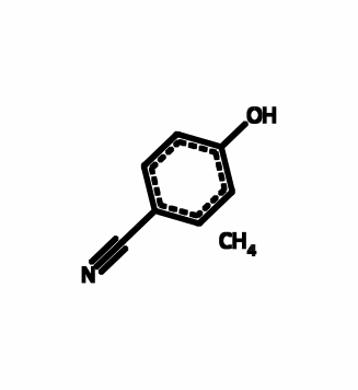 C.N#Cc1ccc(O)cc1